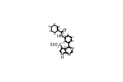 CCOC(=O)c1c[nH]c2ncnc(-c3cccc(NC(=O)C4=CCCCC4)c3)c12